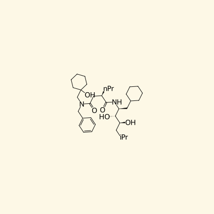 CCC[C@H](CC(=O)N(Cc1ccccc1)CC1(O)CCCCC1)C(=O)N[C@@H](CC1CCCCC1)[C@@H](O)[C@@H](O)CC(C)C